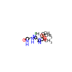 COc1cc2ncc(-c3cc(F)nc(NCc4ccc(=O)[nH]c4)c3)n2cc1S(=O)(=O)C(C)(C)C